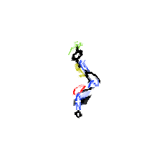 O=C(CN1CCc2nc(-c3ccc(C(F)(F)F)cc3)sc2C1)N1CCN(C2CCC2)CC1